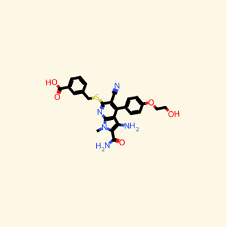 Cn1c(C(N)=O)c(N)c2c(-c3ccc(OCCO)cc3)c(C#N)c(SCc3cccc(C(=O)O)c3)nc21